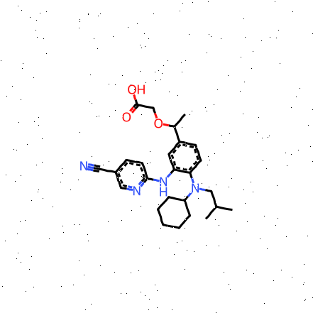 CC(C)CN(c1ccc(C(C)OCC(=O)O)cc1Nc1ccc(C#N)cn1)C1CCCCC1